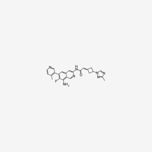 Cc1ncn(C2CC(=CC(=O)Nc3cc4cc(-c5cnccc5C)c(F)c(N)c4cn3)C2)n1